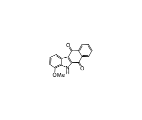 COc1cccc2c3c([nH]c12)C(=O)c1ccccc1C3=O